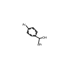 CCCC(O)c1ccc(C(C)=O)cc1